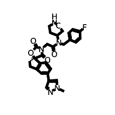 Cn1cc(-c2ccc3c(c2)CC[C@@]32OC(=O)N(CC(=O)N(Cc3ccc(F)cc3)C3CCNCC3)C2=O)cn1